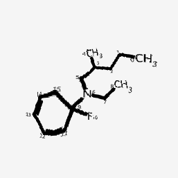 CCCC(C)CN(CC)C1(F)C=CC=CC1